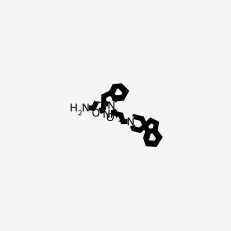 NCC[C@]1(C(N)=O)Cc2ccccc2N1C(=O)CCN1CCC2(CCc3ccccc32)CC1